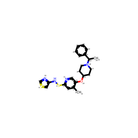 Cc1cc(SNc2cscn2)ncc1OC1CCN(C(C)c2ccccc2)CC1